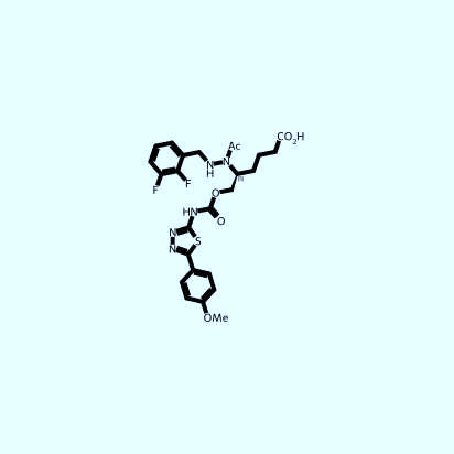 COc1ccc(-c2nnc(NC(=O)OC[C@H](CCCC(=O)O)N(NCc3cccc(F)c3F)C(C)=O)s2)cc1